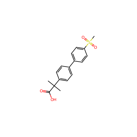 CC(C)(C(=O)O)c1ccc(-c2ccc(S(C)(=O)=O)cc2)cc1